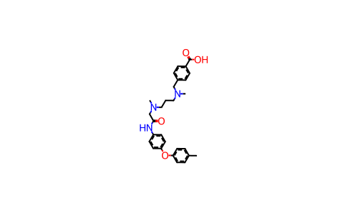 Cc1ccc(Oc2ccc(NC(=O)CN(C)CCCN(C)Cc3ccc(C(=O)O)cc3)cc2)cc1